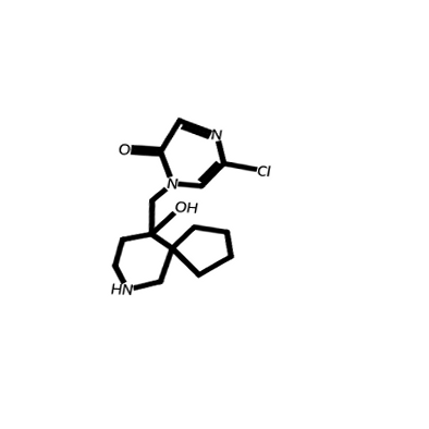 O=c1cnc(Cl)cn1CC1(O)CCNCC12CCCC2